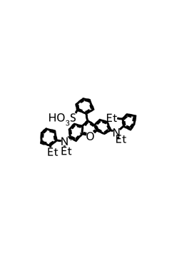 CCc1ccccc1N(CC)c1ccc2c(-c3ccccc3S(=O)(=O)O)c3cc/c(=[N+](/CC)c4ccccc4CC)cc-3oc2c1